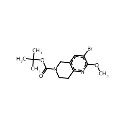 COc1nc2c(cc1Br)CN(C(=O)OC(C)(C)C)CC2